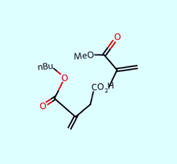 C=C(C)C(=O)OC.C=C(CC(=O)O)C(=O)OCCCC